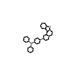 c1ccc(N(c2ccccc2)c2ccc(-c3ccc4ccc5oc6ccccc6c5c4c3)cc2)cc1